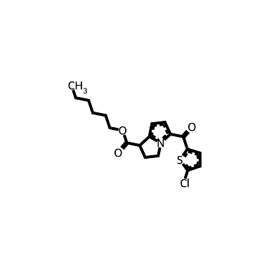 CCCCCCOC(=O)C1CCn2c(C(=O)c3ccc(Cl)s3)ccc21